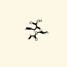 C#CCC(=C)C(=O)O.C=CC(=O)OC#CC